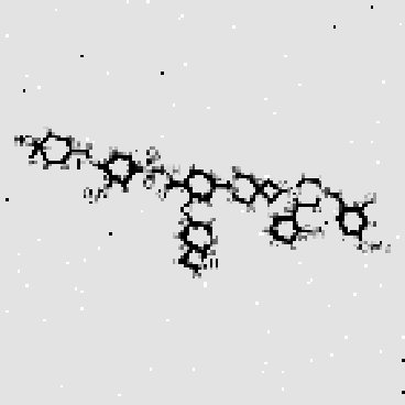 COc1ccc(CN2CCN(C3CC4(CCN(c5ccc(C(=O)NS(=O)(=O)c6ccc(NCC7CCC(C)(O)CC7)c([N+](=O)[O-])c6)c(Oc6cnc7[nH]ccc7c6)c5)CC4)C3)C(c3ccccc3C(C)C)C2)c(Cl)c1